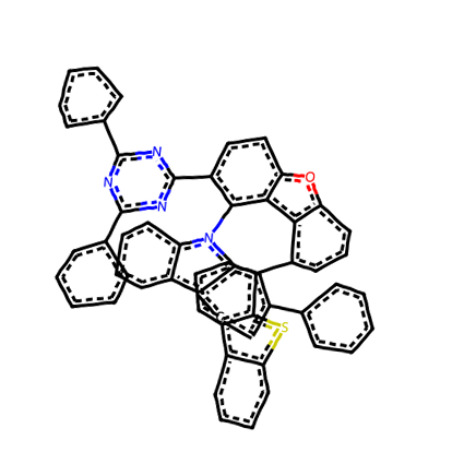 c1ccc(-c2ccc3c4ccccc4n(-c4c(-c5nc(-c6ccccc6)nc(-c6ccccc6)n5)ccc5oc6cccc(-c7cccc8c7sc7ccccc78)c6c45)c3c2)cc1